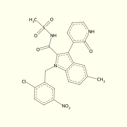 Cc1ccc2c(c1)c(-c1ccc[nH]c1=O)c(C(=O)NS(C)(=O)=O)n2Cc1cc([N+](=O)[O-])ccc1Cl